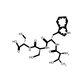 C[C@@H](O)[C@H](N)C(=O)N[C@@H](Cc1c[nH]c2ccccc12)C(=O)N[C@@H](CO)C(=O)N[C@@H](CS)C(=O)O